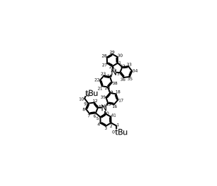 CC(C)(C)Cc1ccc2c3ccc(CC(C)(C)C)cc3n(-c3cccc(-c4cccc(-n5c6ccccc6c6ccccc65)c4)c3)c2c1